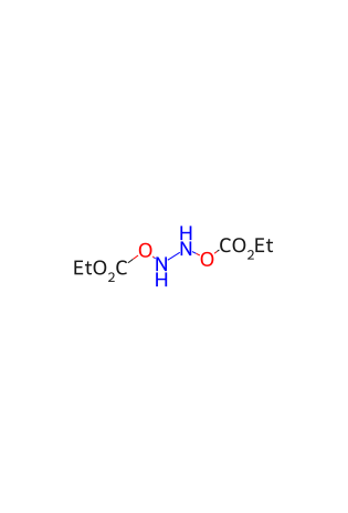 CCOC(=O)ONNOC(=O)OCC